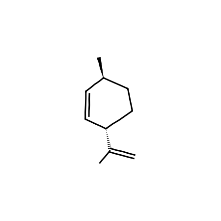 C=C(C)[C@@H]1C=C[C@@H](C)CC1